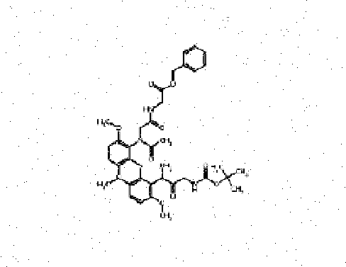 COc1ccc2c(c1C(N)C(=O)CNC(=O)OC(C)(C)C)Sc1c(ccc(OC)c1N(CC(=O)NCC(=O)OCc1ccccc1)C(C)=O)N2C